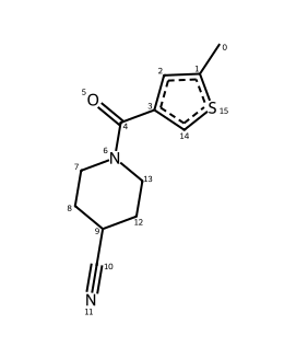 Cc1cc(C(=O)N2CCC(C#N)CC2)cs1